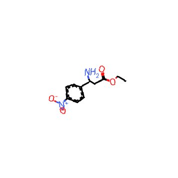 CCOC(=O)CC(N)c1ccc([N+](=O)[O-])cc1